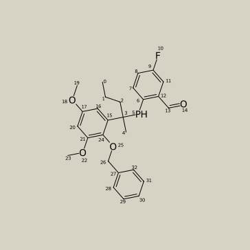 CCCC(C)(Pc1ccc(F)cc1C=O)c1cc(OC)cc(OC)c1OCc1ccccc1